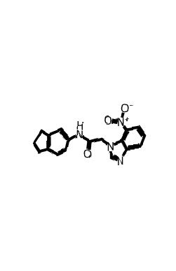 O=C(Cn1cnc2cccc([N+](=O)[O-])c21)Nc1ccc2c(c1)CCC2